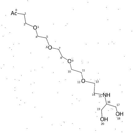 CC(=O)CCOCCOCCOCCOCCNC(CO)CO